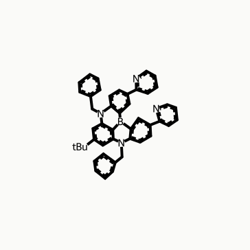 CC(C)(C)c1cc2c3c(c1)N(Cc1ccccc1)c1ccc(-c4ccccn4)cc1B3c1cc(-c3ccccn3)ccc1N2Cc1ccccc1